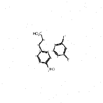 Fc1cccc(F)c1.O=Cc1ccc(CCC(=O)O)cc1